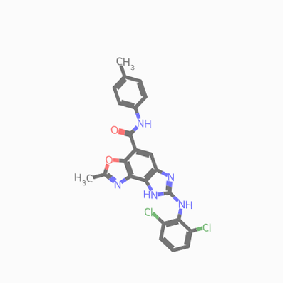 Cc1ccc(NC(=O)c2cc3nc(Nc4c(Cl)cccc4Cl)[nH]c3c3nc(C)oc23)cc1